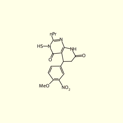 CCCc1nc2c(c(=O)n1S)C(c1ccc(OC)c([N+](=O)[O-])c1)CC(=O)N2